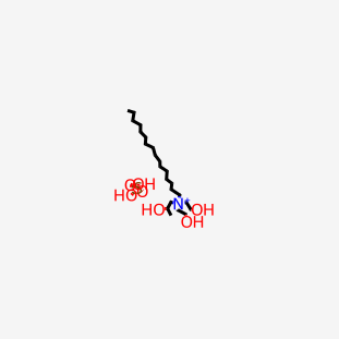 CCCCCCCCCCCCCCCC[N+](CCO)(CCO)CC(C)O.O=S(=O)(O)O